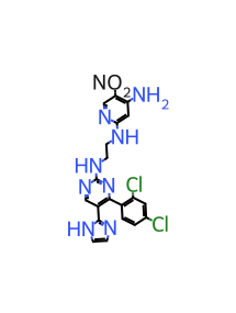 Nc1cc(NCCNc2ncc(-c3ncc[nH]3)c(-c3ccc(Cl)cc3Cl)n2)ncc1[N+](=O)[O-]